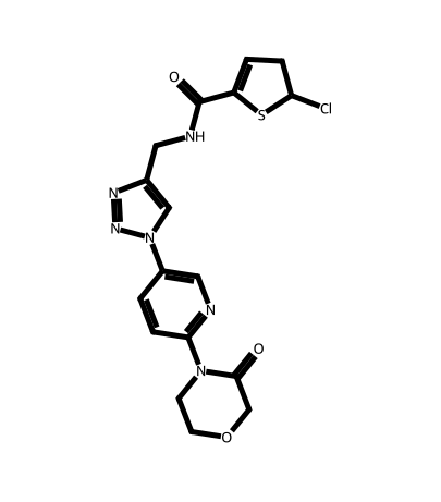 O=C(NCc1cn(-c2ccc(N3CCOCC3=O)nc2)nn1)C1=CCC(Cl)S1